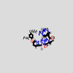 COc1ccc(Oc2ccc([C@@H](C)NC(=O)C3(NC(=O)c4cncnc4)CC3)nc2)c(C#N)c1